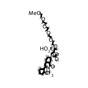 COCCOCCOCCOCCOCCO[C@](C)(C(=O)O)C1CN(c2ccc3cc(-c4ccccc4C(F)(F)F)[nH]c(=O)c3c2)C(=O)O1